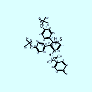 Cc1ccc(S(=O)(=O)Oc2cccc(-c3ccc(OC(C)(C)C)cc3)c2-c2ccc(OC(C)(C)C)cc2)cc1.S